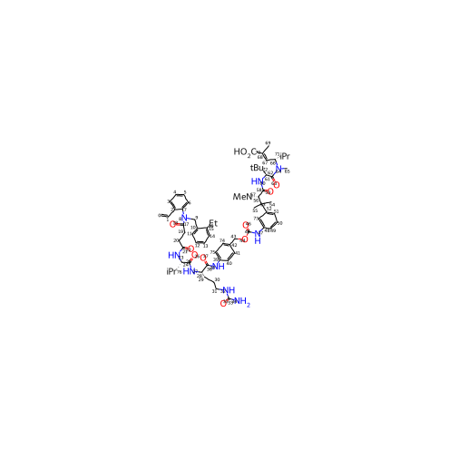 C=Cc1ccccc1N(Cc1ccccc1CC)C(=O)CCC(=O)N[C@H](C(=O)N[C@@H](CCCNC(N)=O)C(=O)Nc1ccc(COC(=O)Nc2cccc(C(C)(C)[C@H](NC)C(=O)N[C@H](C(=O)N(C)[C@H](/C=C(\C)C(=O)O)C(C)C)C(C)(C)C)c2)cc1)C(C)C